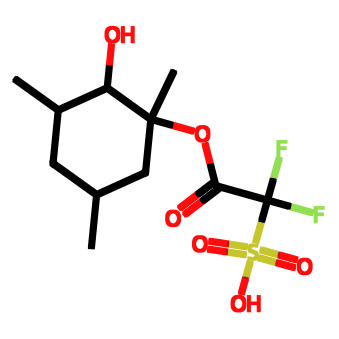 CC1CC(C)C(O)C(C)(OC(=O)C(F)(F)S(=O)(=O)O)C1